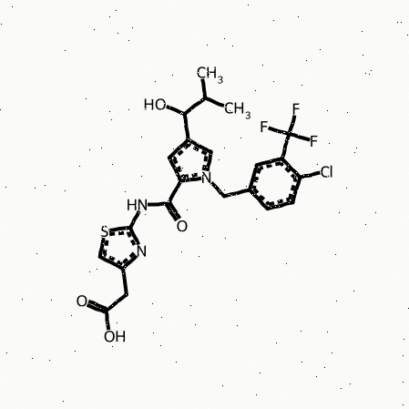 CC(C)C(O)c1cc(C(=O)Nc2nc(CC(=O)O)cs2)n(Cc2ccc(Cl)c(C(F)(F)F)c2)c1